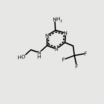 Nc1nc(CC(F)(F)F)nc(NCO)n1